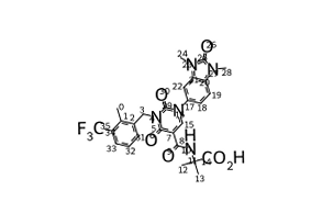 Cc1c(Cn2c(=O)c(C(=O)NC(C)(C)C(=O)O)cn(-c3ccc4c(c3)n(C)c(=O)n4C)c2=O)cccc1C(F)(F)F